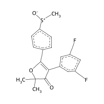 C[S+]([O-])c1ccc(C2=C(c3cc(F)cc(F)c3)C(=O)C(C)(C)O2)cc1